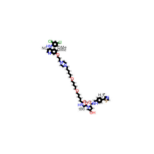 COc1cc(Nc2c(C#N)cnc3cc(OCCCN4CCN(CCCCCCOCCCCCOCCCCCC(=O)N[C@H](C(=O)N5C[C@H](O)C[C@H]5C(=O)NCc5ccc(-c6scnc6C)cc5)C(C)(C)C)CC4)c(OC)cc23)c(Cl)cc1Cl